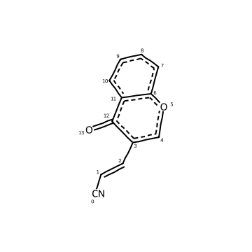 N#CC=Cc1coc2ccccc2c1=O